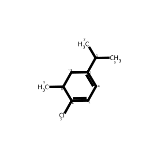 CC(C)C1=CC=C(Cl)C(C)C1